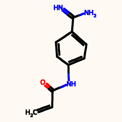 C=CC(=O)Nc1ccc(C(=N)N)cc1